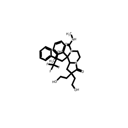 CNC(=O)N1CCN2C(=O)C(CCO)(CCO)CC2C1(CC(O)(c1ccccc1)C(F)(F)F)c1ccccc1C